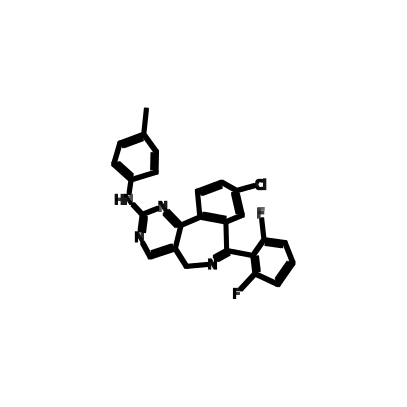 Cc1ccc(Nc2ncc3c(n2)-c2ccc(Cl)cc2C(c2c(F)cccc2F)=NC3)cc1